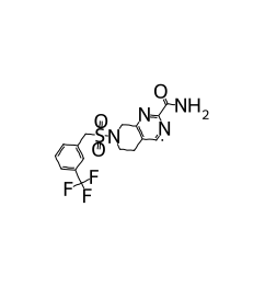 NC(=O)c1n[c]c2c(n1)CN(S(=O)(=O)Cc1cccc(C(F)(F)F)c1)CC2